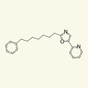 c1ccc(CCCCCCCc2ncc(-c3ccccn3)o2)cc1